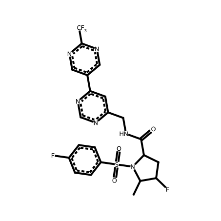 CC1C(F)CC(C(=O)NCc2cc(-c3cnc(C(F)(F)F)nc3)ncn2)N1S(=O)(=O)c1ccc(F)cc1